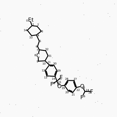 CCC1CCC(CCC2CCC(c3ccc(C(F)(F)Oc4ccc(OC(F)F)cc4)cc3)CC2)CC1